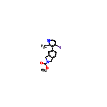 CC(C)(C)OC(=O)N1Cc2ccc(-c3c(I)ccnc3C(F)(F)F)cc2C1